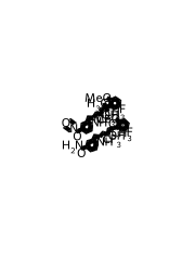 COc1ccc(F)cc1C(C)(C)CC(O)(Cc1cc2cc(C(=O)N3CCOCC3)ccc2[nH]1)C(F)(F)F.COc1ccc(F)cc1C(C)(C)CC(O)(Cc1cc2cc(C(N)=O)ccc2[nH]1)C(F)(F)F